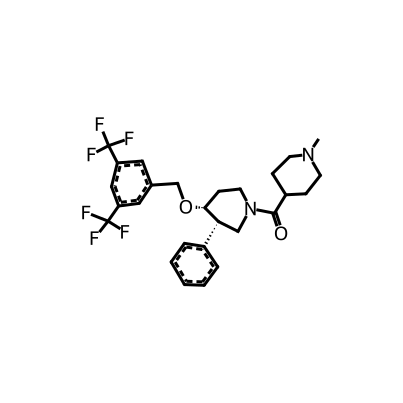 CN1CCC(C(=O)N2CC[C@@H](OCc3cc(C(F)(F)F)cc(C(F)(F)F)c3)[C@@H](c3ccccc3)C2)CC1